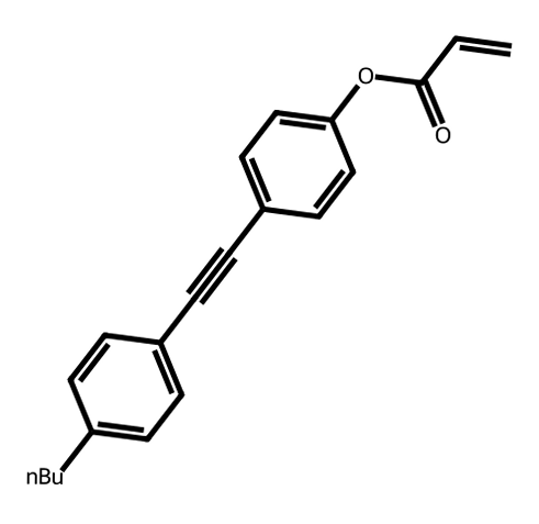 C=CC(=O)Oc1ccc(C#Cc2ccc(CCCC)cc2)cc1